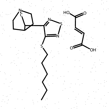 CCCCCCSc1nsnc1C1CN2CCC1CC2.O=C(O)C=CC(=O)O